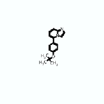 CC(C)(C)Oc1ccc(-c2cccc3nccn23)cc1